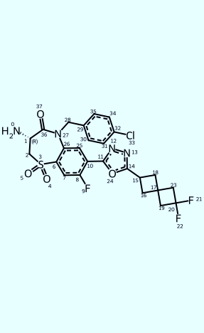 N[C@H]1CS(=O)(=O)c2cc(F)c(-c3nnc(C4CC5(C4)CC(F)(F)C5)o3)cc2N(Cc2ccc(Cl)cc2)C1=O